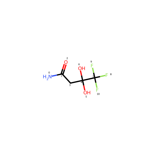 NC(=O)CC(O)(O)C(F)(F)F